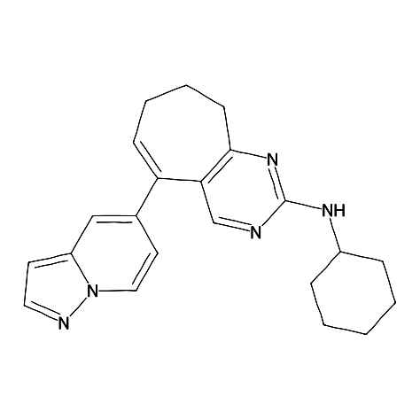 C1=C(c2ccn3nccc3c2)c2cnc(NC3CCCCC3)nc2CCC1